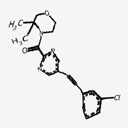 CC1(C)COCCN1C(=O)c1ncc(C#Cc2cccc(Cl)c2)cn1